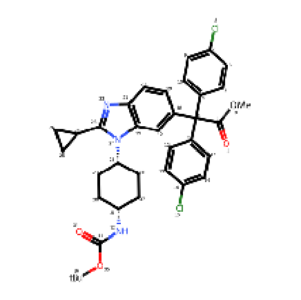 COC(=O)C(c1ccc(Cl)cc1)(c1ccc(Cl)cc1)c1ccc2nc(C3CC3)n([C@H]3CC[C@@H](NC(=O)OC(C)(C)C)CC3)c2c1